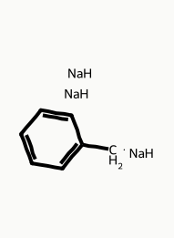 [CH2]c1ccccc1.[NaH].[NaH].[NaH]